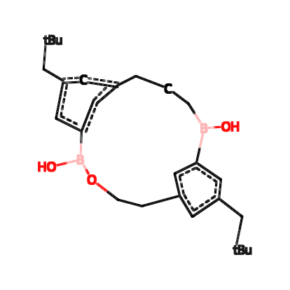 CC(C)(C)Cc1cc2cc(c1)B(O)CCCc1cc(CC(C)(C)C)cc(c1)B(O)OCC2